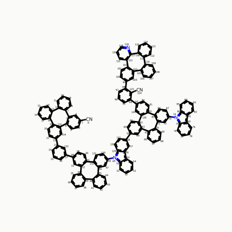 N#Cc1ccc2c(c1)-c1ccccc1-c1ccccc1-c1ccc(-c3cccc(-c4ccc5c(c4)-c4ccccc4-c4ccccc4-c4cc(-n6c7ccccc7c7cc(-c8ccc9c(c8)-c8ccccc8-c8cc(-n%10c%11ccccc%11c%11ccccc%11%10)ccc8-c8ccc(-c%10cccc(-c%11ccc%12c(c%11)-c%11ccccc%11-c%11ccccc%11-c%11ncccc%11-%12)c%10C#N)cc8-9)ccc76)ccc4-5)c3)cc1-2